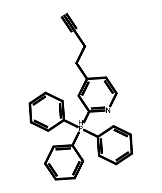 C#CCCc1ccnc([PH](c2ccccc2)(c2ccccc2)c2ccccc2)c1